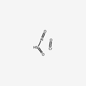 [O]=[Al][SiH]=O.[O]=[Cr]